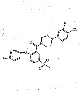 CS(=O)(=O)c1ccc(Oc2ccc(F)cc2)c(C(=O)N2CCN(c3ccc(C#N)c(F)c3)CC2)c1